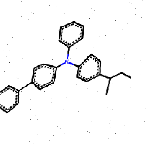 CCC(C)c1ccc(N(c2ccccc2)c2ccc(-c3ccccc3)cc2)cc1